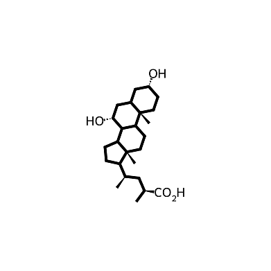 C[C@H](C[C@H](C)C(=O)O)C1CCC2C3C(CC[C@@]21C)[C@@]1(C)CC[C@@H](O)CC1C[C@H]3O